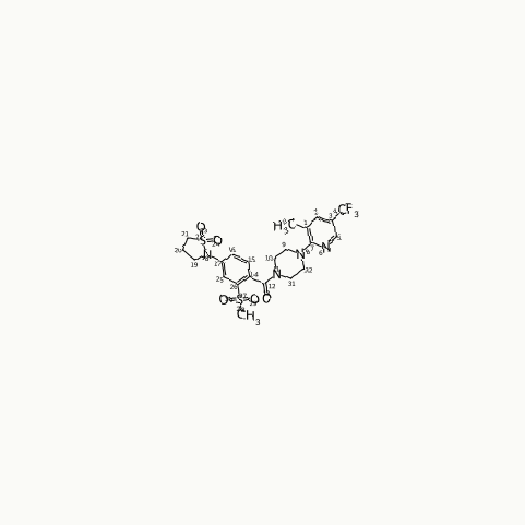 Cc1cc(C(F)(F)F)cnc1N1CCN(C(=O)c2ccc(N3CCCS3(=O)=O)cc2S(C)(=O)=O)CC1